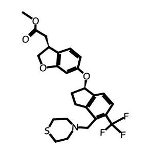 COC(=O)C[C@@H]1COc2cc(O[C@@H]3CCc4c3ccc(C(F)(F)F)c4CN3CCSCC3)ccc21